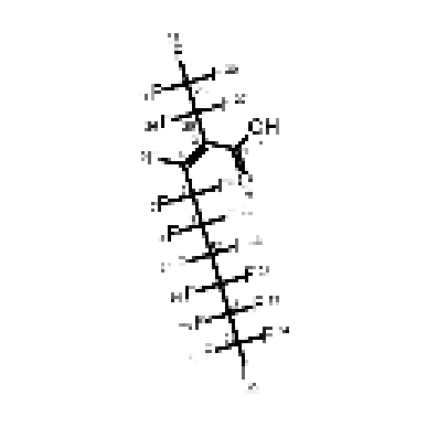 O=C(O)C(=C(F)C(F)(F)C(F)(F)C(F)(F)C(F)(F)C(F)(F)C(F)(F)F)C(F)(F)C(F)(F)F